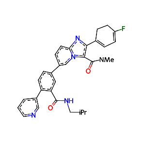 CNC(=O)c1c(C2=CC=C(F)CC2)nc2ccc(-c3ccc(-c4cccnc4)c(C(=O)NCC(C)C)c3)cn12